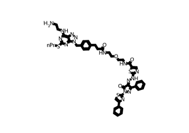 CCCSc1nc(NCCN)c2nnn(Cc3ccc(CCC(=O)NCCOCCNC(=O)c4cnc(N/N=C5/C(=O)N(c6nc(-c7ccccc7)cs6)N=C5c5ccccc5)s4)cc3)c2n1